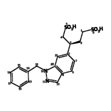 O=S(=O)(O)CC[C@H](CS(=O)(=O)O)c1ccc2cnn(Cc3ccccc3)c2c1